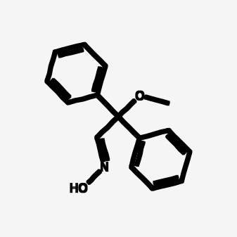 COC(C=NO)(c1ccccc1)c1ccccc1